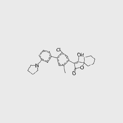 Cc1cc(-c2cccc(N3CCCC3)c2)c(Cl)cc1C1=C(O)C2(CCCCC2)OC1=O